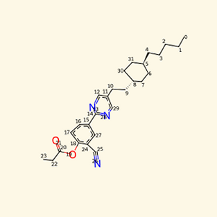 CCCCC[C@H]1CC[C@H](CCc2cnc(-c3ccc(OC(=O)CC)c(C#N)c3)nc2)CC1